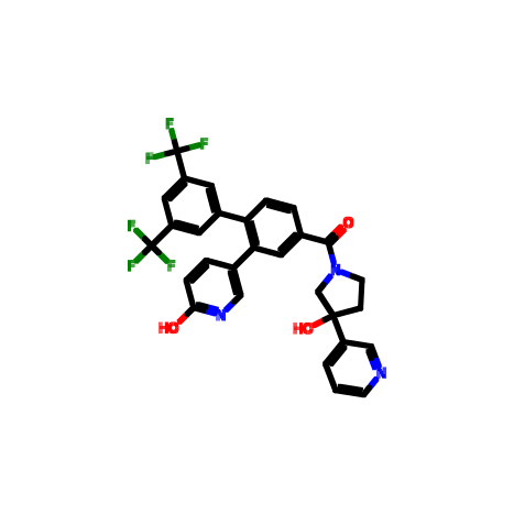 O=C(c1ccc(-c2cc(C(F)(F)F)cc(C(F)(F)F)c2)c(-c2ccc(O)nc2)c1)N1CCC(O)(c2cccnc2)C1